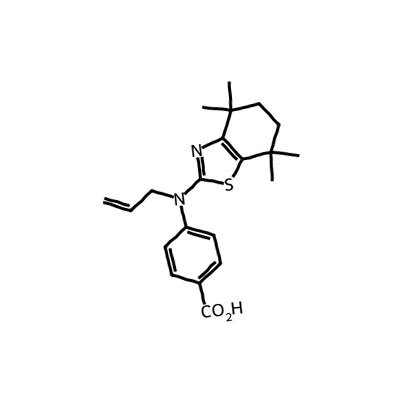 C=CCN(c1ccc(C(=O)O)cc1)c1nc2c(s1)C(C)(C)CCC2(C)C